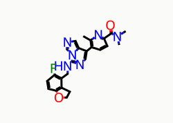 Cc1nc(C(=O)N(C)C)ccc1-c1cnc(NCc2c(F)ccc3c2CCO3)n2cncc12